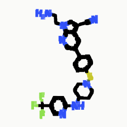 N#Cc1cn(CCN)c2ncc(-c3ccc(SN4CCC(Nc5ccc(C(F)(F)F)cn5)CC4)cc3)cc12